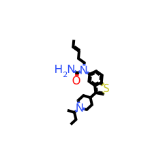 CC=CCCN(C(N)=O)c1ccc2scc(C3CCN(C(C)CC)CC3)c2c1